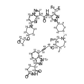 CC1CCN(C[C@H]2CC[C@H](n3cc(NC(=O)c4cnn5ccc(N6CCC(OC7COC7)CC6)nc45)c(C(F)F)n3)CC2)C[C@@H](F)[C@H]1OCC#Cc1cccc2c(C3CCC(=O)NC3=O)nn(C)c12